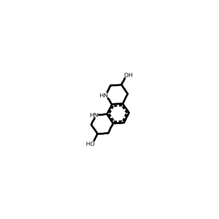 OC1CNc2c(ccc3c2NCC(O)C3)C1